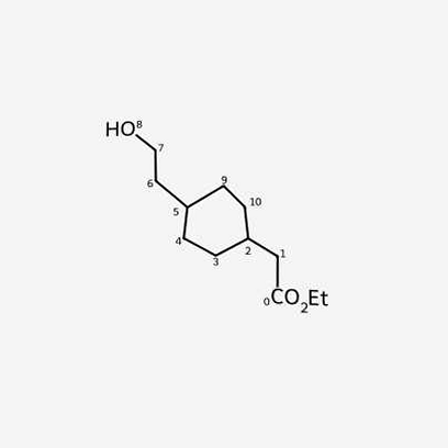 CCOC(=O)CC1CCC(CCO)CC1